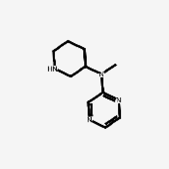 CN(c1cnccn1)C1CCCNC1